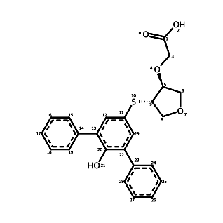 O=C(O)CO[C@H]1COC[C@@H]1Sc1cc(-c2ccccc2)c(O)c(-c2ccccc2)c1